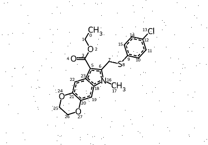 CCOC(=O)c1c(CSc2ccc(Cl)cc2)n(C)c2cc3c(cc12)OCCO3